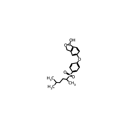 CC(C)CCC(C)S(=O)(=O)c1ccc(Oc2ccc3c(c2)COB3O)cc1